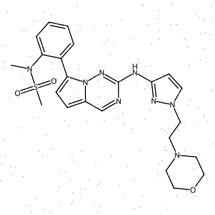 CN(c1ccccc1-c1ccc2cnc(Nc3ccn(CCN4CCOCC4)n3)nn12)S(C)(=O)=O